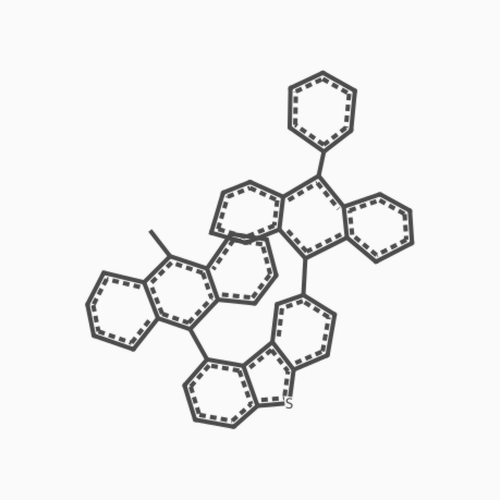 Cc1c2ccccc2c(-c2cccc3sc4ccc(-c5c6ccccc6c(-c6ccccc6)c6ccccc56)cc4c23)c2ccccc12